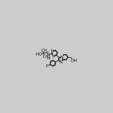 CC(C)(O)CNc1nccc(-c2c(-c3ccc(F)cc3)nc3cc(CO)ccn23)n1